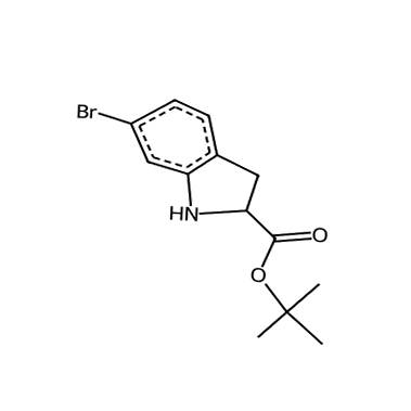 CC(C)(C)OC(=O)C1Cc2ccc(Br)cc2N1